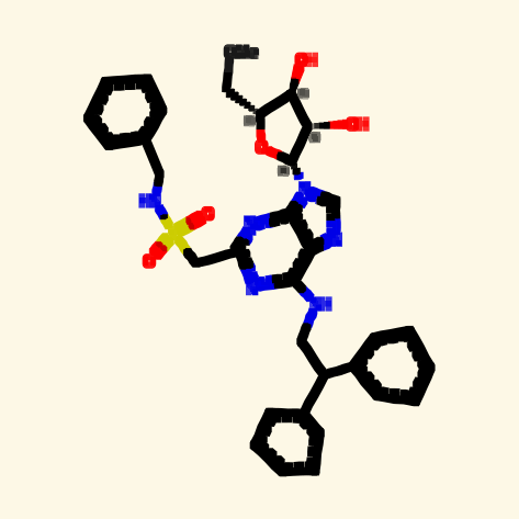 COC[C@H]1O[C@@H](n2cnc3c(NCC(c4ccccc4)c4ccccc4)nc(CS(=O)(=O)NCc4ccccc4)nc32)[C@@H](O)[C@@H]1O